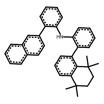 CC1(C)CCC(C)(C)c2c(-c3ccccc3Nc3ccccc3-c3ccc4ccccc4c3)cccc21